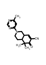 Cc1cc(N2CCC3C(C=C(C#N)C(=O)C3(C)C)C2)ncn1